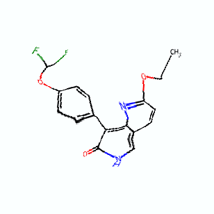 CCOc1ccc2c[nH]c(=O)c(-c3ccc(OC(F)F)cc3)c2n1